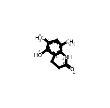 Cc1cc(C)c2c(c1O)CCC(=O)N2